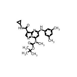 Cc1cc(C)cc(Nc2cc(N(C)C(=O)OC(C)(C)C)n3ncc(C(=O)NC4CC4)c3n2)c1